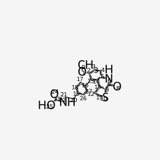 COc1ccc2[nH]c(=O)c3sccc3c2c1-c1ccc(CCNC(=O)O)cc1